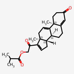 CC(C)C(=O)OCC(=O)C1=CC[C@H]2[C@@H]3CCC4=CC(=O)CC[C@]4(C)C3=CC[C@]12C